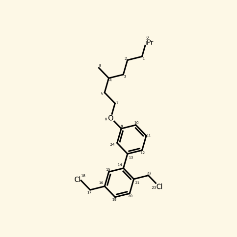 CC(C)CCCC(C)CCOc1cccc(-c2cc(CCl)ccc2CCl)c1